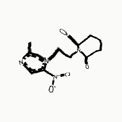 Cc1ncc([N+](=O)[O-])n1CCN1C(=O)CCCC1=O